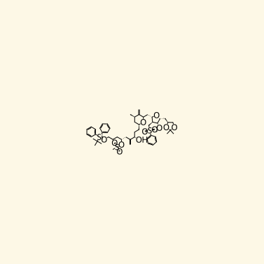 C=C1C(C[C@@H]2O[C@H](C[C@H]3COC(C)(C)O3)[C@H](OC)[C@H]2CS(=O)(=O)c2ccccc2)O[C@@H](CC[C@H](O)C(=C)C[C@@H](CCCO[Si](c2ccccc2)(c2ccccc2)C(C)(C)C)OS(C)(=O)=O)C[C@H]1C